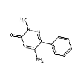 Cn1nc(-c2ccccc2)c(N)cc1=O